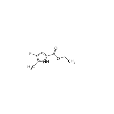 CCOC(=O)c1cc(F)c(C)[nH]1